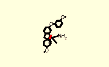 COc1cccc(Oc2ccc3c(c2)C2(N=C(N)N(C)C2=O)C2(CCC(OC)CC2)C3)c1